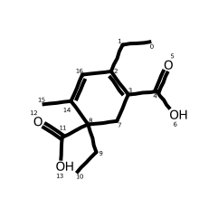 CCC1=C(C(=O)O)CC(CC)(C(=O)O)C(C)=C1